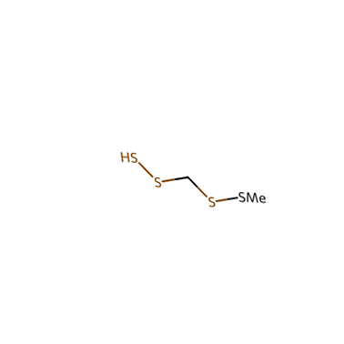 CSSCSS